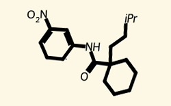 CC(C)CCC1(C(=O)NC2=CC([N+](=O)[O-])=CC[CH]2)CCCCC1